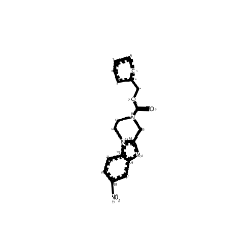 O=C(OCc1ccccc1)N1CCn2c(nc3cc([N+](=O)[O-])ccc32)C1